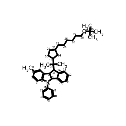 Cc1ccc2c(c1)C1C(c3ccccc3C1C(C)(C)C1CCC(CCCCCCOC(C)(C)C)C1)N2c1ccccc1